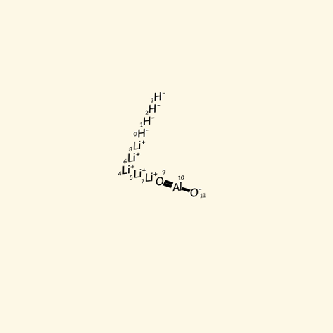 [H-].[H-].[H-].[H-].[Li+].[Li+].[Li+].[Li+].[Li+].[O]=[Al][O-]